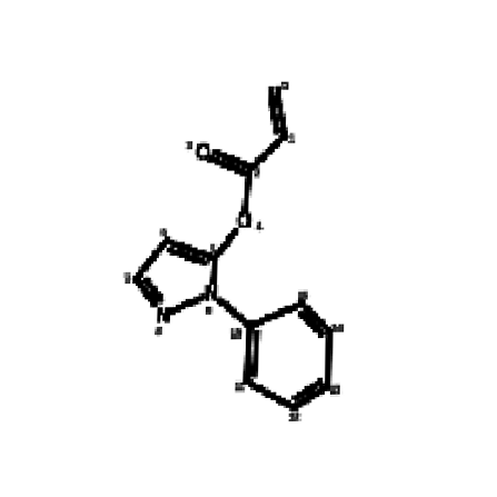 C=CC(=O)Oc1ccnn1-c1ccccc1